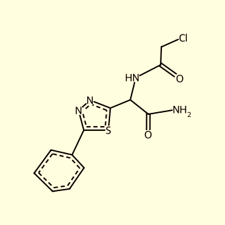 NC(=O)C(NC(=O)CCl)c1nnc(-c2ccccc2)s1